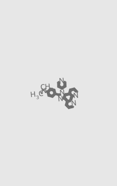 CN(C)c1ccc(-c2nc3c4cccnc4c4ncccc4c3n2-c2ccncc2)cc1